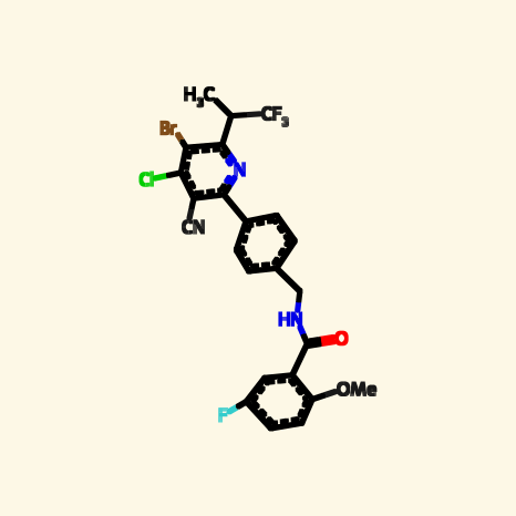 COc1ccc(F)cc1C(=O)NCc1ccc(-c2nc(C(C)C(F)(F)F)c(Br)c(Cl)c2C#N)cc1